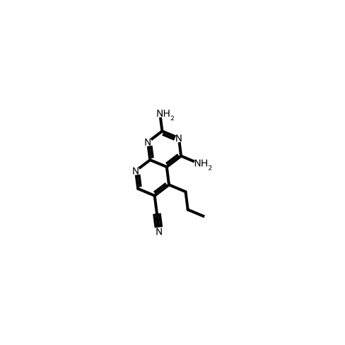 CCCc1c(C#N)cnc2nc(N)nc(N)c12